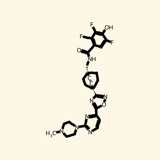 CN1CCN(c2nccc(-c3nc([C@]45CC[C@](CNC(=O)c6cc(F)c(O)c(F)c6F)(CC4)CC5)no3)n2)CC1